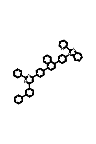 c1ccc(-c2cccc(-c3cc(-c4ccc(-c5ccc(-c6ccc(-n7c(-c8ccccn8)nc8ccccc87)cc6)c6ccccc56)cc4)nc(-c4ccccc4)n3)c2)cc1